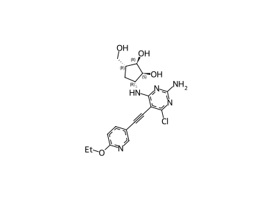 CCOc1ccc(C#Cc2c(Cl)nc(N)nc2N[C@@H]2C[C@H](CO)[C@@H](O)[C@H]2O)cn1